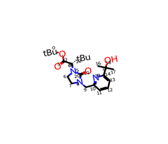 CC(C)(C)OC(=O)[C@@H](N1CCN(Cc2cccc(C(C)(C)O)n2)C1=O)C(C)(C)C